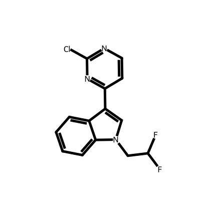 FC(F)Cn1cc(-c2ccnc(Cl)n2)c2ccccc21